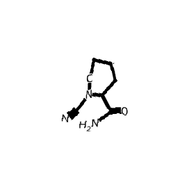 N#CN1CC[CH]CC1C(N)=O